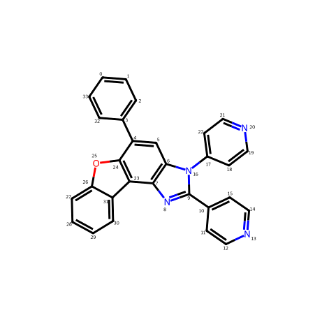 c1ccc(-c2cc3c(nc(-c4ccncc4)n3-c3ccncc3)c3c2oc2ccccc23)cc1